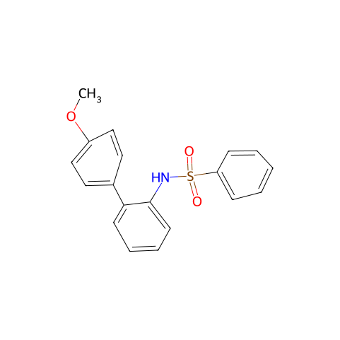 COc1ccc(-c2ccccc2NS(=O)(=O)c2ccccc2)cc1